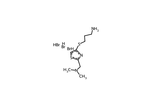 Br.Br.Br.CN(C)Cc1nc(SCCCN)cs1